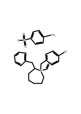 C=C[N+]1(Cc2ccc(Cl)cc2)CCCCCC1Cc1ccccc1.Cc1ccc(S(=O)(=O)[O-])cc1